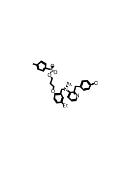 CCc1ccc(OCCCOS(=O)(=O)c2ccc(C)cc2)c(CN(C(C)=O)c2cccnc2Cc2ccc(Cl)cc2)c1